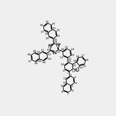 C1=C(c2ccc3ccccc3c2)C2Oc3ccccc3C2C(c2cccc(-c3nc(-c4ccc5ccccc5c4)nc(-c4ccc5ccccc5c4)n3)c2)=C1